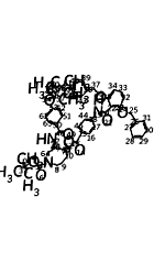 CC(C)(C)OC(=O)N1CCC[C@@H](OC(=O)c2ccc(NC(=O)c3c(OCc4ccccc4)cccc3OCc3ccccc3)cc2)[C@H](NC(=O)c2ccc(O[Si](C)(C)C(C)(C)C)cc2)C1